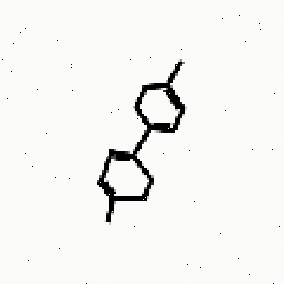 CC1=CC=C(C2=CC=C(C)CC2)CC1